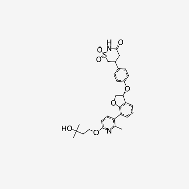 Cc1nc(OCCC(C)(C)O)ccc1-c1cccc2c1OC[C@H]2Oc1ccc(C2CC(=O)NS(=O)(=O)C2)cc1